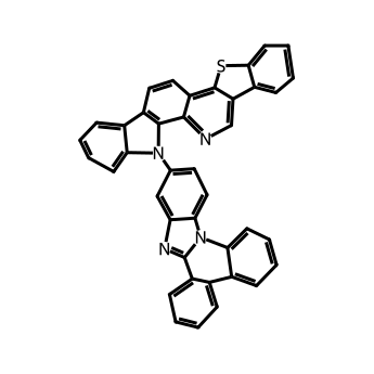 c1ccc2c(c1)sc1c2cnc2c1ccc1c3ccccc3n(-c3ccc4c(c3)nc3c5ccccc5c5ccccc5n43)c12